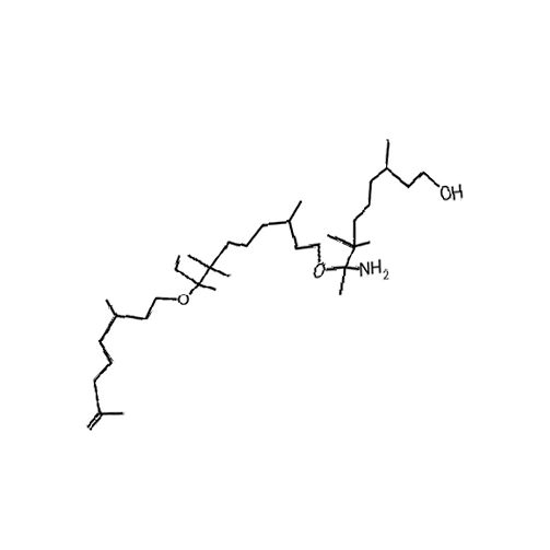 C=C(C)CCCC(C)CCOC(C)(CC)C(C)(C)CCCC(C)CCOC(C)(N)C(C)(C)CCCC(C)CCO